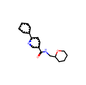 O=C(NCC1CCCCO1)c1ccc(-c2ccccc2)nc1